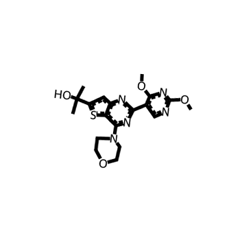 COc1ncc(-c2nc(N3CCOCC3)c3sc(C(C)(C)O)cc3n2)c(OC)n1